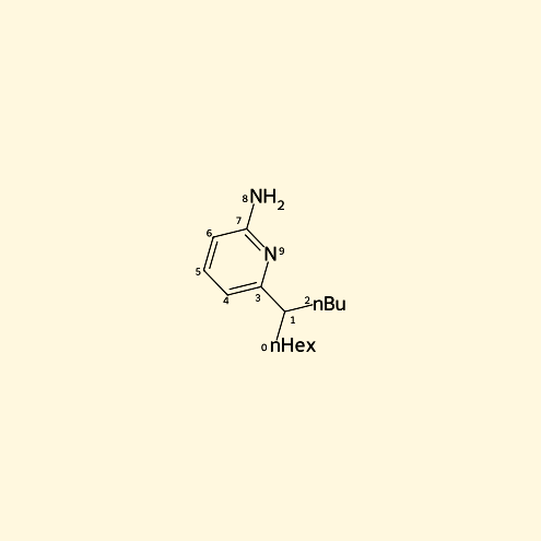 CCCCCCC(CCCC)c1cccc(N)n1